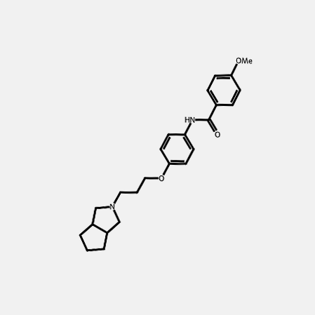 COc1ccc(C(=O)Nc2ccc(OCCCN3CC4CCCC4C3)cc2)cc1